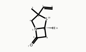 C=CC1(C)CN2C(=O)C[C@@H]2S1